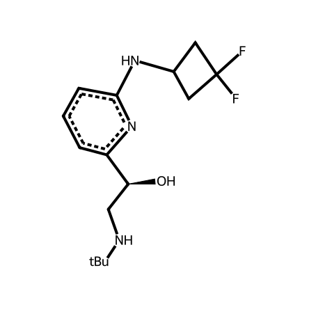 CC(C)(C)NC[C@H](O)c1cccc(NC2CC(F)(F)C2)n1